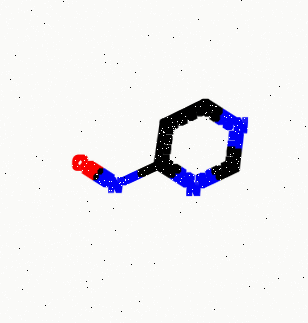 O=Nc1ccncn1